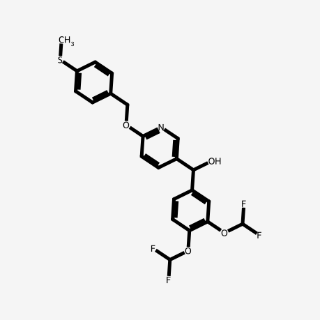 CSc1ccc(COc2ccc(C(O)c3ccc(OC(F)F)c(OC(F)F)c3)cn2)cc1